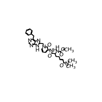 COC(=O)NC(CC/C=C/C(=O)N(C)C)C(=O)Nc1cccn(Cc2nc3c(Cc4ccccc4)ncnc3[nH]2)c1=O